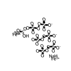 O=S(=O)([O-])OOS(=O)(=O)[O-].O=S(=O)([O-])OOS(=O)(=O)[O-].O=S(=O)([O-])OOS(=O)(=O)[O-].O=S([O-])O.[Fe+3].[Fe+3].[Na+].[NaH]